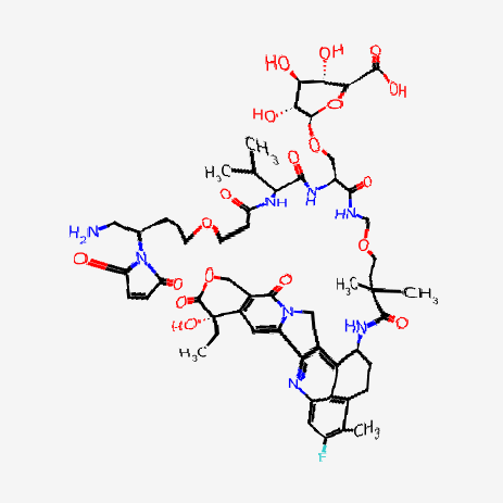 CC[C@@]1(O)C(=O)OCc2c1cc1n(c2=O)Cc2c-1nc1cc(F)c(C)c3c1c2[C@@H](NC(=O)C(C)(C)COCNC(=O)[C@H](CO[C@@H]1O[C@H](C(=O)O)[C@@H](O)[C@H](O)[C@H]1O)NC(=O)[C@@H](NC(=O)CCOCC[C@H](CN)N1C(=O)C=CC1=O)C(C)C)CC3